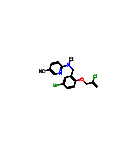 C=C(Cl)COc1ccc(Br)cc1CN(CC)c1ccc(C#N)cn1